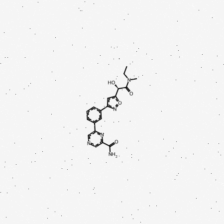 CCN(C)C(=O)[C@H](O)c1cc(-c2cccc(-c3cncc(C(N)=O)n3)c2)no1